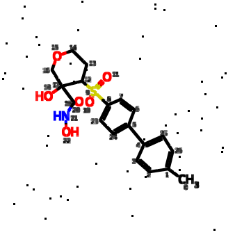 Cc1ccc(-c2ccc(S(=O)(=O)C3CCOCC3(O)C(=O)NO)cc2)cc1